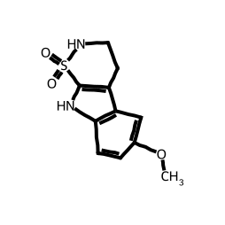 COc1ccc2[nH]c3c(c2c1)CCNS3(=O)=O